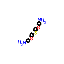 Nc1ccc(Oc2cccc(Sc3cccc(Oc4ccc(N)cc4)c3)c2)cc1